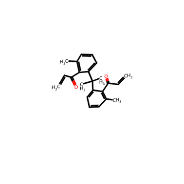 C=CC(=O)c1c(C)cccc1C(C)(C)c1cccc(C)c1C(=O)C=C